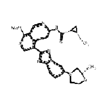 CNc1ncc(-c2nc3ccc(N4CCO[C@@H](C)C4)cn3n2)c2cc(NC(=O)[C@@H]3C[C@@H]3C(F)(F)F)ncc12